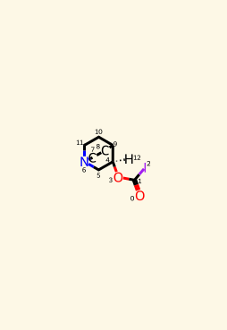 O=C(I)O[C@H]1CN2CCC1CC2